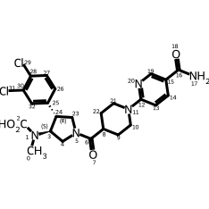 CN(C(=O)O)[C@@H]1CN(C(=O)C2CCN(c3ccc(C(N)=O)cn3)CC2)C[C@H]1c1ccc(Cl)c(Cl)c1